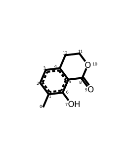 Cc1ccc2c(c1O)C(=O)OCC2